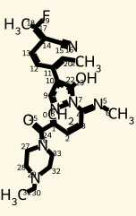 C=C(/C=C\C(=N/C)n1ncc(C(/C=C\C(C#N)=C(/C)F)=C\C)c1O)C(=O)N1CCN(CC)CC1